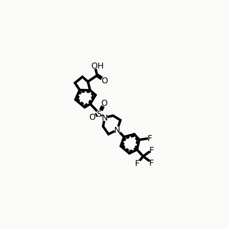 O=C(O)C1CCc2ccc(S(=O)(=O)N3CCN(c4ccc(C(F)(F)F)c(F)c4)CC3)cc21